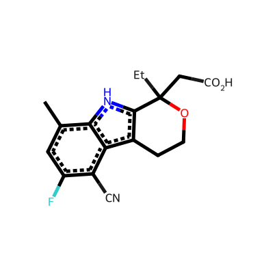 CCC1(CC(=O)O)OCCc2c1[nH]c1c(C)cc(F)c(C#N)c21